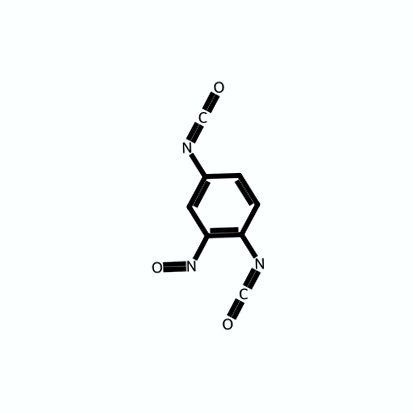 O=C=Nc1ccc(N=C=O)c(N=O)c1